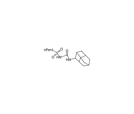 CCCCCS(=O)(=O)NC(=O)NC1C2CC3CC(C2)CC1C3